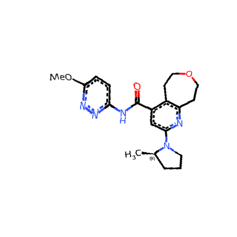 COc1ccc(NC(=O)c2cc(N3CCC[C@H]3C)nc3c2CCOCC3)nn1